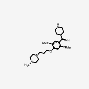 CNc1cc(OCCCN2CCN(C)CC2)c(OC)cc1C(=N)C1CCNCC1